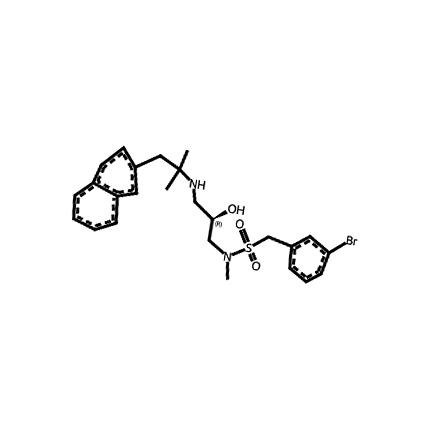 CN(C[C@H](O)CNC(C)(C)Cc1ccc2ccccc2c1)S(=O)(=O)Cc1cccc(Br)c1